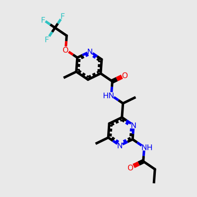 CCC(=O)Nc1nc(C)cc(C(C)NC(=O)c2cnc(OCC(F)(F)F)c(C)c2)n1